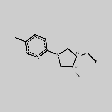 Cc1ccc(N2C[C@H](CF)[C@H](C)C2)nn1